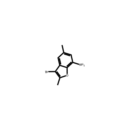 Cc1cc(N)c2oc(C)c(Br)c2c1